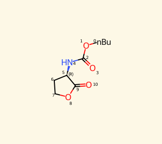 CCCCOC(=O)N[C@@H]1CCOC1=O